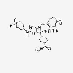 NC(=O)[C@H]1CC[C@H](n2c(Nc3c(F)ccc(Cl)c3F)nc3cnc(NC4CCC(F)(F)CC4)nc32)CC1